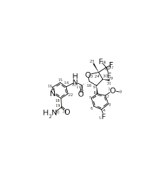 COc1cc(F)ccc1[C@H]1[C@H](C(=O)Nc2ccnc(C(N)=O)c2)O[C@](C)(C(F)(F)F)[C@H]1C